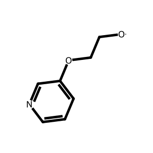 [O]CCOc1cccnc1